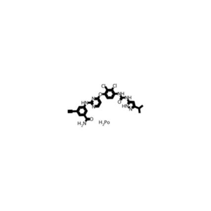 C#Cc1cc(Nc2nccc(Oc3ccc(NC(=O)Nc4cc(C(C)C)n[nH]4)c(Cl)c3Cl)n2)cc(C(N)=O)c1.[PoH2]